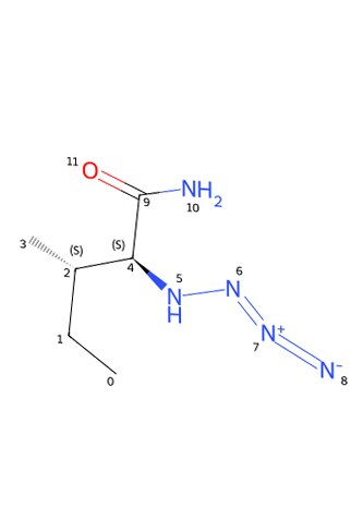 CC[C@H](C)[C@H](NN=[N+]=[N-])C(N)=O